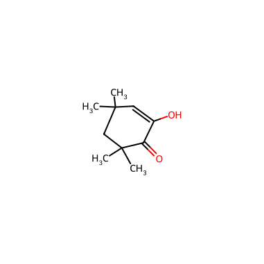 CC1(C)C=C(O)C(=O)C(C)(C)C1